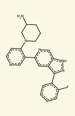 NC1CCCN(c2ccncc2-c2cc3c(-c4ccccc4F)n[nH]c3cn2)C1